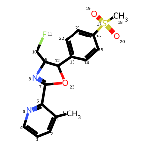 Cc1cccnc1C1=NC(CF)C(c2ccc(S(C)(=O)=O)cc2)O1